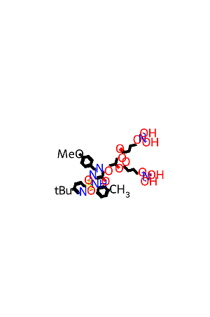 COc1ccc(-c2nc(NS(=O)(=O)c3ccc(C(C)(C)C)cn3)c(Oc3ccccc3C)c(OCC(COC(=O)CCCON(O)O)OC(=O)CCCON(O)O)n2)cc1